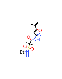 C=C(C)c1cc(NC(=O)C(C)(C)S(=O)(=O)NCC)no1